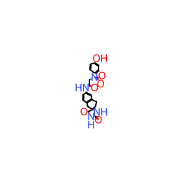 O=C(Cn1c(=O)oc2cc(O)ccc21)Nc1ccc2c(c1)CCC1(C2)NC(=O)NC1=O